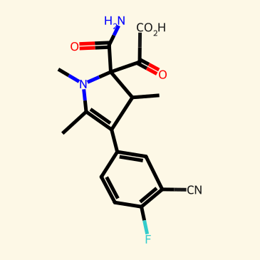 CC1=C(c2ccc(F)c(C#N)c2)C(C)C(C(N)=O)(C(=O)C(=O)O)N1C